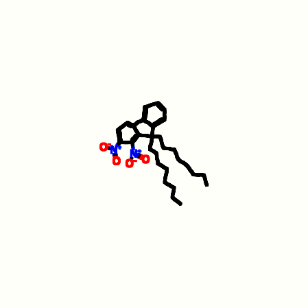 CCCCCCCCC1(CCCCCCCC)c2ccccc2-c2ccc([N+](=O)[O-])c([N+](=O)[O-])c21